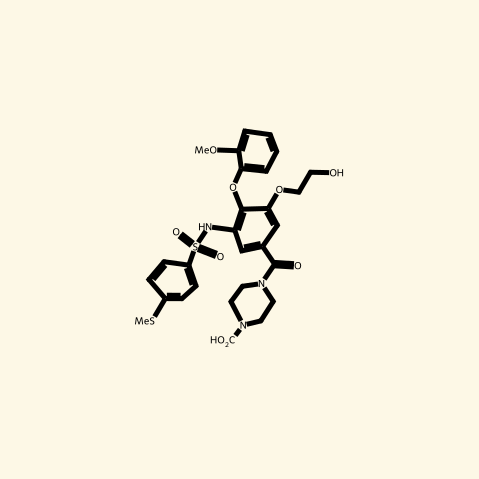 COc1ccccc1Oc1c(NS(=O)(=O)c2ccc(SC)cc2)cc(C(=O)N2CCN(C(=O)O)CC2)cc1OCCO